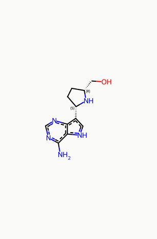 Nc1ncnc2c([C@@H]3CC[C@H](CO)N3)c[nH]c12